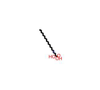 C=CCCCCCCCCCCCCC/C=C/CC(O)C(=O)O